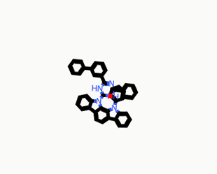 c1ccc(-c2cccc(C3=NC(c4ccccc4)NC(n4c5ccccc5c5ccc6c7ccccc7n(-c7ccccc7)c6c54)N3)c2)cc1